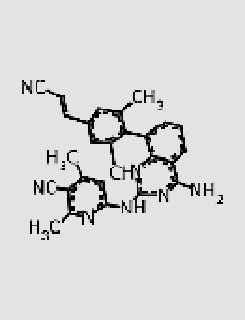 Cc1cc(Nc2nc(N)c3cccc(-c4c(C)cc(C=CC#N)cc4C)c3n2)nc(C)c1C#N